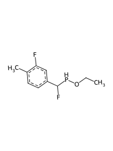 CCOPC(F)c1ccc(C)c(F)c1